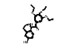 CCOc1cc(C(=O)C2NCCc3cc(O)ccc32)cc(OCC)c1OCC